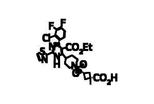 CCOC(=O)C1=C(C2CCN(S(=O)(=O)[C@H]3C[C@@](C)(C(=O)O)C3)CC2)NC(c2nccs2)=N[C@@H]1c1ccc(F)c(F)c1Cl